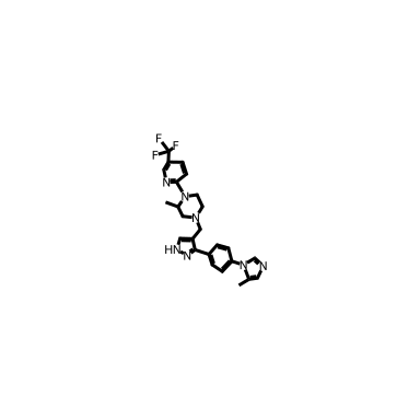 Cc1cncn1-c1ccc(-c2n[nH]cc2CN2CCN(c3ccc(C(F)(F)F)cn3)C(C)C2)cc1